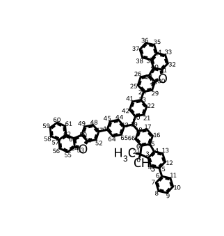 CC1(C)c2cc(-c3ccccc3)ccc2-c2ccc(C(c3ccc(-c4ccc5c(c4)oc4ccc6ccccc6c45)cc3)c3ccc(-c4ccc5c(c4)oc4ccc6ccccc6c45)cc3)cc21